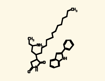 CCCCCCCCCCCCCC(CC(N)CC)C1CC(=O)NC1=O.c1ccc(-c2cc3ccccc3[nH]2)cc1